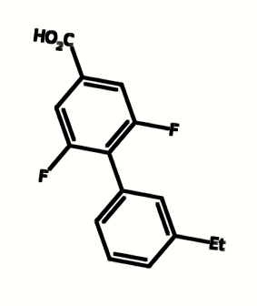 CCc1cccc(-c2c(F)cc(C(=O)O)cc2F)c1